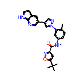 Cc1ccc(NC(=O)c2cc(C(C)(C)C)on2)cc1-n1cc(-c2cnc3[nH]ccc3c2)cn1